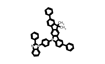 CC1(C)c2cc(-c3ccccc3)ccc2-c2cc3c(cc21)c1cc(-c2ccccc2)ccc1n3-c1ccc(-n2c(-c3ccccc3)nc3ccccc32)cc1